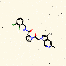 CC(=O)c1cn(CC(=O)N2CCC[C@H]2C(=O)NCc2cccc(Cl)c2F)c2cnc(C)cc12